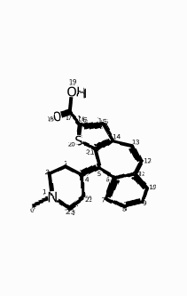 CN1CCC(=C2c3ccccc3C=Cc3cc(C(=O)O)sc32)CC1